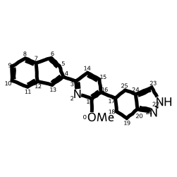 COc1nc(-c2ccc3ccccc3c2)ccc1C1CCc2n[nH]cc2C1